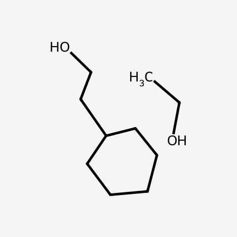 CCO.OCCC1CCCCC1